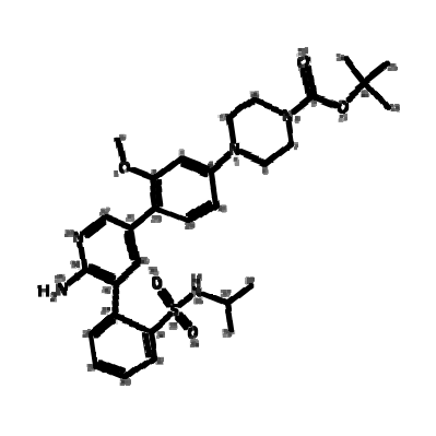 COc1cc(N2CCN(C(=O)OC(C)(C)C)CC2)ccc1-c1cnc(N)c(-c2ccccc2S(=O)(=O)NC(C)C)c1